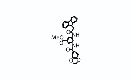 COC(=O)c1cc(NC(=O)CC2c3ccccc3-c3ccccc32)cc(NC(=O)c2ccc3c(c2)OCCO3)c1